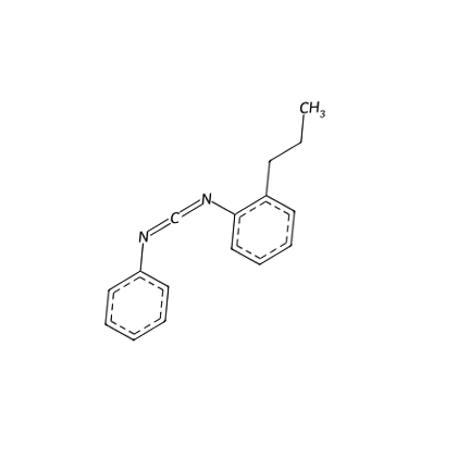 CCCc1ccccc1N=C=Nc1ccccc1